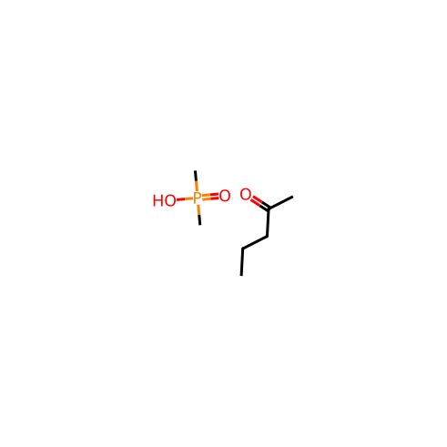 CCCC(C)=O.CP(C)(=O)O